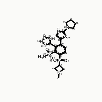 CN1CC(S(=O)(=O)c2ccc(-c3cnc(N4CCCC4)s3)c(-c3nnn[nH]3)c2S(N)(=O)=O)C1